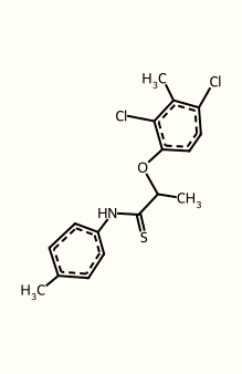 Cc1ccc(NC(=S)C(C)Oc2ccc(Cl)c(C)c2Cl)cc1